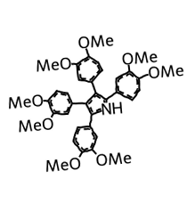 COc1ccc(-c2[nH]c(-c3ccc(OC)c(OC)c3)c(-c3ccc(OC)c(OC)c3)c2-c2ccc(OC)c(OC)c2)cc1OC